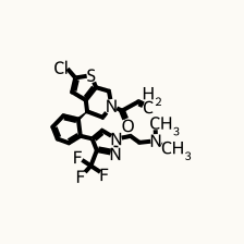 C=CC(=O)N1Cc2sc(Cl)cc2[C@H](c2ccccc2-c2cn(CCN(C)C)nc2C(F)(F)F)C1